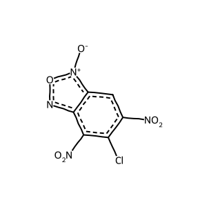 O=[N+]([O-])c1cc2c(no[n+]2[O-])c([N+](=O)[O-])c1Cl